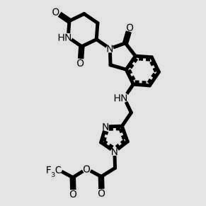 O=C1CCC(N2Cc3c(NCc4cn(CC(=O)OC(=O)C(F)(F)F)cn4)cccc3C2=O)C(=O)N1